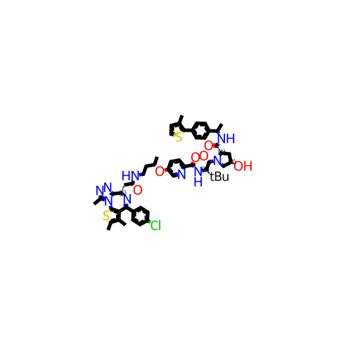 Cc1ccsc1-c1ccc(C(C)NC(=O)[C@@H]2C[C@@H](O)CN2C(=O)[C@@H](NC(=O)c2ccc(OC(C)CCNC(=O)C[C@@H]3N=C(c4ccc(Cl)cc4)c4c(sc(C)c4C)-n4c(C)nnc43)cn2)C(C)(C)C)cc1